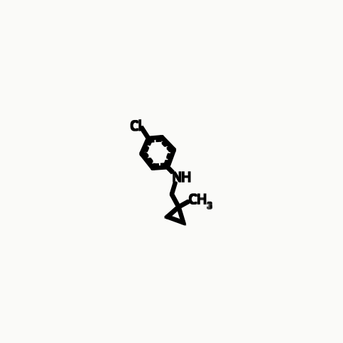 CC1(CNc2ccc(Cl)cc2)CC1